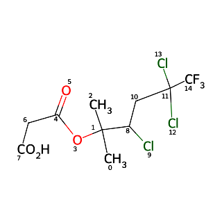 CC(C)(OC(=O)CC(=O)O)C(Cl)CC(Cl)(Cl)C(F)(F)F